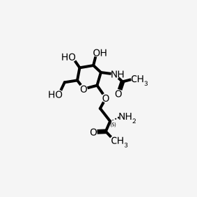 CC(=O)NC1C(OC[C@H](N)C(C)=O)OC(CO)C(O)C1O